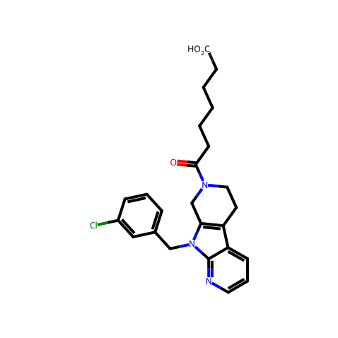 O=C(O)CCCCCC(=O)N1CCc2c(n(Cc3cccc(Cl)c3)c3ncccc23)C1